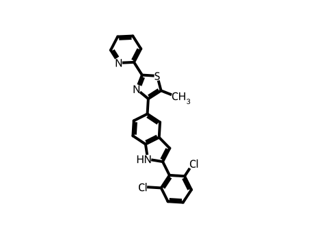 Cc1sc(-c2ccccn2)nc1-c1ccc2[nH]c(-c3c(Cl)cccc3Cl)cc2c1